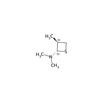 C[C@H]1CS[C@@H]1N(C)C